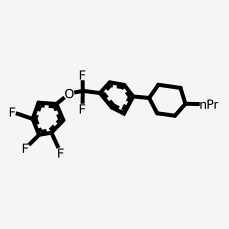 CCCC1CCC(c2ccc(C(F)(F)Oc3cc(F)c(F)c(F)c3)cc2)CC1